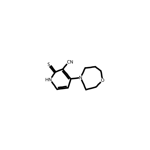 N#Cc1c(N2CCCOCC2)cc[nH]c1=S